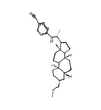 CCC[C@H]1CC[C@@H]2C3CC[C@@]4(C)C(CCC4[C@@H](C)Nc4ccc(C#N)cn4)[C@@H]3CC[C@@H]2C1